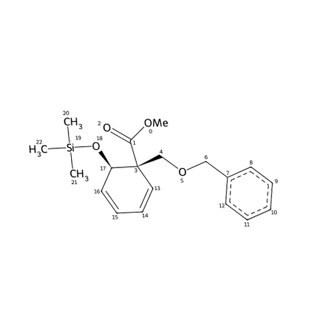 COC(=O)[C@]1(COCc2ccccc2)C=CC=C[C@H]1O[Si](C)(C)C